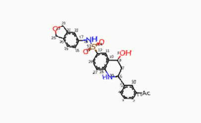 CC(=O)c1cccc(C2C[C@H](O)c3cc(S(=O)(=O)Nc4ccc5c(c4)COC5)ccc3N2)c1